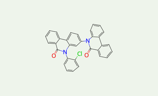 O=c1c2ccccc2c2ccccc2n1-c1ccc2c3ccccc3c(=O)n(-c3ccccc3Cl)c2c1